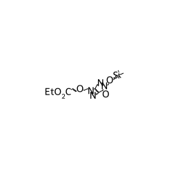 CCOC(=O)/C=C/OCCn1ncc2c(=O)n(COCC[Si](C)(C)C)ncc21